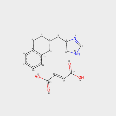 C1=NC(CC2CCc3ccccc3C2)CN1.O=C(O)/C=C/C(=O)O